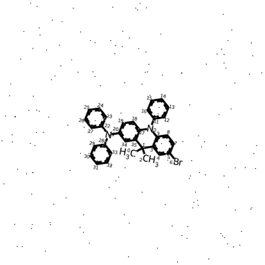 CC1(C)c2cc(Br)ccc2N(c2ccccc2)c2ccc(N(c3ccccc3)c3ccccc3)cc21